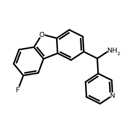 NC(c1cccnc1)c1ccc2oc3ccc(F)cc3c2c1